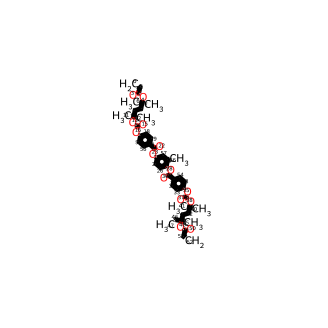 C=CC(=O)OC(C)(C)CCC(C)(C)OC(=O)Oc1ccc(C(=O)Oc2ccc(OC(=O)c3ccc(OC(=O)OC(C)(C)CCC(C)(CC)OC(=O)C=C)cc3)c(C)c2)cc1